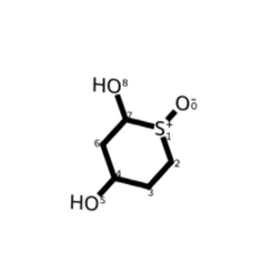 [O-][S+]1CCC(O)CC1O